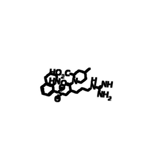 CC1CCN(C(=O)C(CCCNC(=N)N)CS(=O)(=O)c2cccc3c2NCCC3)C(C(=O)O)C1